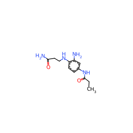 CCC(=O)Nc1ccc(NCCC(N)=O)c(N)c1